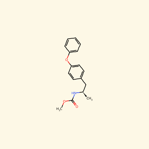 COC(=O)N[C@H](C)Cc1ccc(Oc2ccccc2)cc1